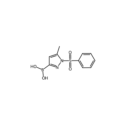 Cc1cc(B(O)O)nn1S(=O)(=O)c1ccccc1